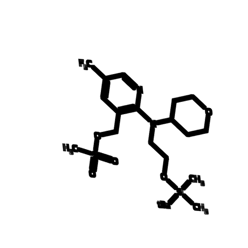 CC(C)(C)[Si](C)(C)OCCN(c1ncc(C(F)(F)F)cc1COS(C)(=O)=O)C1CCOCC1